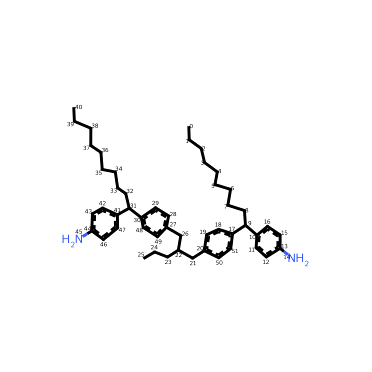 CCCCCCCCCC(c1ccc(N)cc1)c1ccc(CC(CCC)Cc2ccc(C(CCCCCCCCC)c3ccc(N)cc3)cc2)cc1